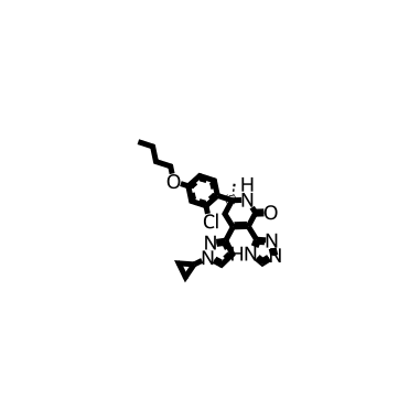 CCCCOc1ccc([C@]2(C)CC(c3ccn(C4CC4)n3)=C(c3nnc[nH]3)C(=O)N2)c(Cl)c1